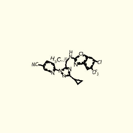 C[C@H](Nc1nc2cc(C(F)(F)F)c(Cl)cc2o1)c1nc(C2CC2)nn1-c1ccc(C#N)cn1